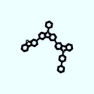 c1ccc(-c2ccc(-n3c4ccccc4c4cc(-c5ccc6c(c5)c5cc(-c7ccc8c(c7)oc7ccccc78)ccc5n6-c5ccccc5)ccc43)cc2)cc1